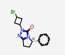 O=c1n(C2CC(Br)C2)nc2n1[C@H](c1ccccc1)CC2